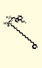 C[C@H](Cn1cnc2c(N)ncnc21)OCP(=O)(O)OCCCSCCCCCCCCCCCCc1cccnc1